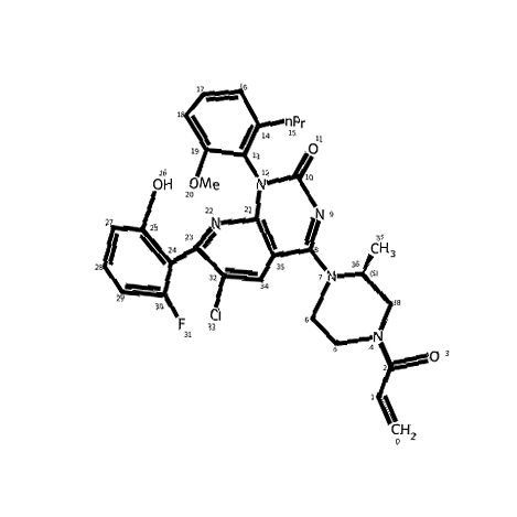 C=CC(=O)N1CCN(c2nc(=O)n(-c3c(CCC)cccc3OC)c3nc(-c4c(O)cccc4F)c(Cl)cc23)[C@@H](C)C1